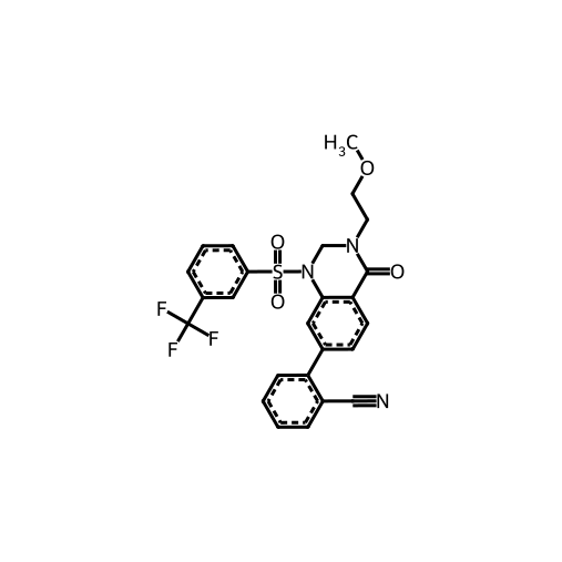 COCCN1CN(S(=O)(=O)c2cccc(C(F)(F)F)c2)c2cc(-c3ccccc3C#N)ccc2C1=O